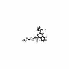 CCc1nccn1-c1nc(NCCOCCO)c2ccccc2n1